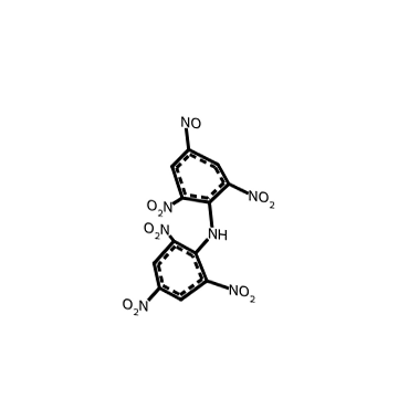 O=Nc1cc([N+](=O)[O-])c(Nc2c([N+](=O)[O-])cc([N+](=O)[O-])cc2[N+](=O)[O-])c([N+](=O)[O-])c1